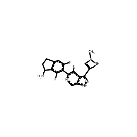 CN1C=C(c2n[nH]c3cnc(-c4c(F)cc5c(c4F)C(N)CC5)c(F)c23)CN1